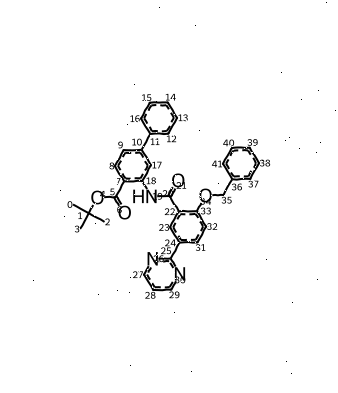 CC(C)(C)OC(=O)c1ccc(-c2ccccc2)cc1NC(=O)c1cc(-c2ncccn2)ccc1OCc1ccccc1